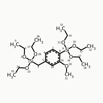 CCO[Si](Cc1ccc([Si](OCC)(OCC)OCC)c(OC)c1)(OCC)OCC